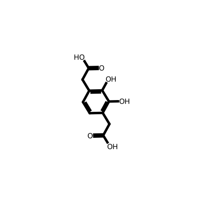 O=C(O)Cc1ccc(CC(=O)O)c(O)c1O